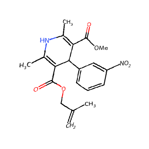 C=C(C)COC(=O)C1=C(C)NC(C)=C(C(=O)OC)C1c1cccc([N+](=O)[O-])c1